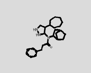 O=C(CCc1ccccc1)N(C1CC2CCC1C2)C1NNCC1C1CCCCCC1